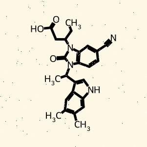 CCC(CC(=O)O)n1c(=O)n(C(C)c2c[nH]c3cc(C)c(C)cc23)c2ccc(C#N)cc21